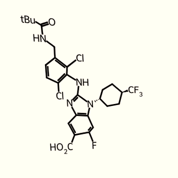 CC(C)(C)C(=O)NCc1ccc(Cl)c(Nc2nc3cc(C(=O)O)c(F)cc3n2[C@H]2CC[C@H](C(F)(F)F)CC2)c1Cl